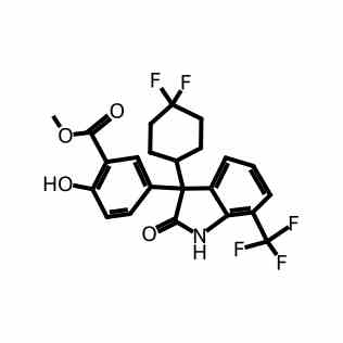 COC(=O)c1cc(C2(C3CCC(F)(F)CC3)C(=O)Nc3c(C(F)(F)F)cccc32)ccc1O